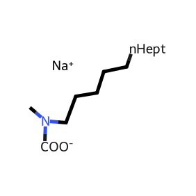 CCCCCCCCCCCCN(C)C(=O)[O-].[Na+]